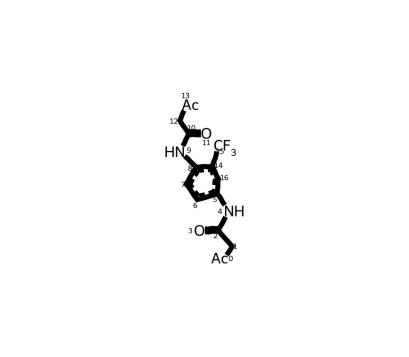 CC(=O)CC(=O)Nc1ccc(NC(=O)CC(C)=O)c(C(F)(F)F)c1